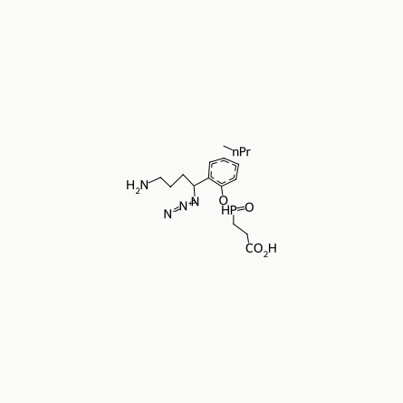 CCCC.[N-]=[N+]=NC(CCCN)c1ccccc1O[PH](=O)CCC(=O)O